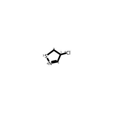 ClC1[C]SN=C1